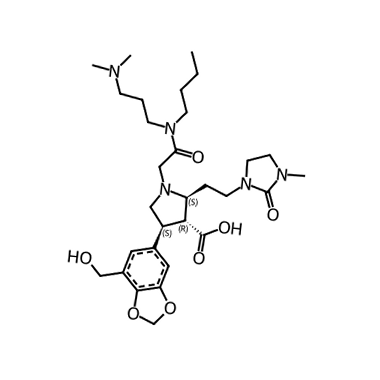 CCCCN(CCCN(C)C)C(=O)CN1C[C@H](c2cc(CO)c3c(c2)OCO3)[C@@H](C(=O)O)[C@@H]1CCN1CCN(C)C1=O